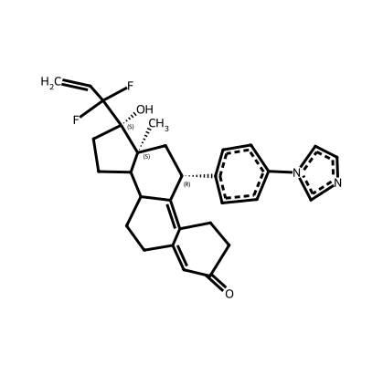 C=CC(F)(F)[C@]1(O)CCC2C3CCC4=CC(=O)CCC4=C3[C@@H](c3ccc(-n4ccnc4)cc3)C[C@@]21C